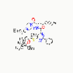 CCOC(=O)N1CCN(C(=O)C(CCC(=O)O)NC(=O)c2cc(S[C@@H](C)C(C)O[Si](C)(C)C(C)(C)C)nc(-c3ccccc3)n2)CC1